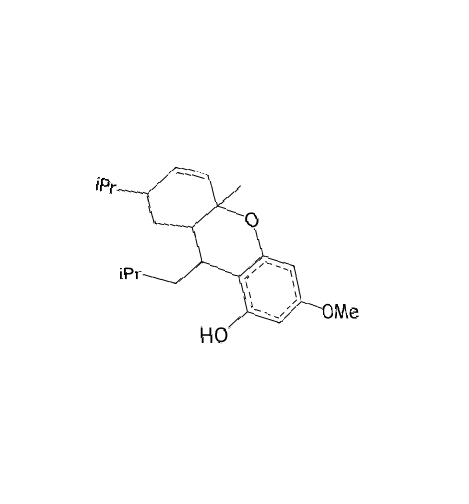 COc1cc(O)c2c(c1)OC1(C)C=CC(C(C)C)CC1C2CC(C)C